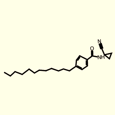 CCCCCCCCCCCCc1ccc(C(=O)NC2(C#N)CC2)cc1